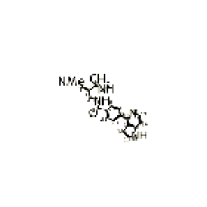 CN/C=C(/CNC(=O)c1ccc(-c2nccc3[nH]ccc23)cc1)C(C)=N